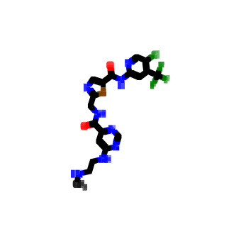 CNCCNc1cc(C(=O)NCc2ncc(C(=O)Nc3cc(C(F)(F)F)c(Cl)cn3)s2)ncn1